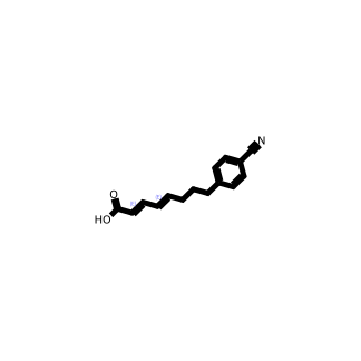 N#Cc1ccc(CCC/C=C/C=C/C(=O)O)cc1